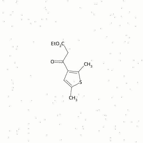 CCOC(=O)CC(=O)c1cc(C)sc1C